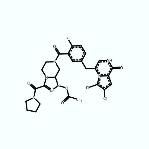 O=C(C1=[N+]N(OC(=O)C(F)(F)F)C2CN(C(=O)c3cc(Cc4c[nH]c(=O)c5cc(Cl)c(Cl)n45)ccc3F)CCN12)N1CCCC1